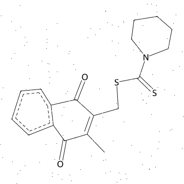 CC1=C(CSC(=S)N2CCCCC2)C(=O)c2ccccc2C1=O